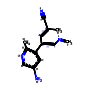 C=N/C=C(\C=C(/C)C#N)c1cc(N)cnc1C